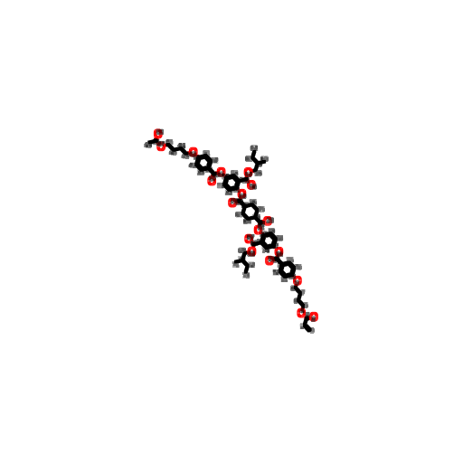 C=CC(=O)OCCCCOc1ccc(C(=O)Oc2ccc(OC(=O)C3CCC(C(=O)Oc4ccc(OC(=O)c5ccc(OCCCCOC(C)=O)cc5)cc4C(=O)OCC(C)CC)CC3)c(C(=O)OCC(C)CC)c2)cc1